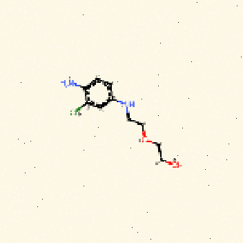 Nc1ccc(NCCOCCO)cc1Cl